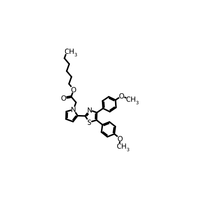 CCCCCCOC(=O)Cn1cccc1-c1nc(-c2ccc(OC)cc2)c(-c2ccc(OC)cc2)s1